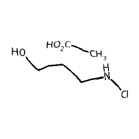 CC(=O)O.OCCCNCl